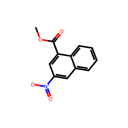 COC(=O)c1cc([N+](=O)[O-])cc2ccccc12